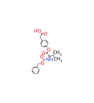 CC(C)[C@H](NC(=O)OCc1ccccc1)C(=O)Oc1ccc(CC(=O)O)cc1